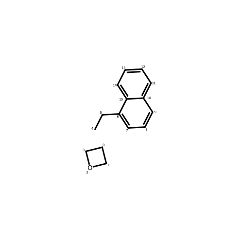 C1COC1.CCc1cccc2ccccc12